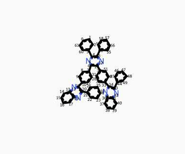 c1ccc(-c2nc(-c3ccc(-c4nc5ccccc5nc4-c4ccccc4)cc3)c(-c3ccc(-c4nc5ccccc5nc4-c4ccccc4)cc3)nc2-c2ccccc2)cc1